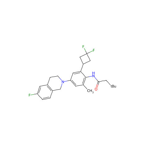 Cc1cc(N2CCc3cc(F)ccc3C2)cc(C2CC(F)(F)C2)c1NC(=O)CC(C)(C)C